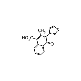 Cc1c(C(=O)O)c2ccccc2c(=O)n1-c1ccsc1